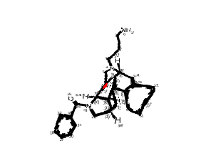 NCCCN1CC[C@@]23c4ccccc4C[C@@H]1[C@]21CC[C@@H]2[C@H]3[C@@H](CN2C(=O)c2ccccc2)C1